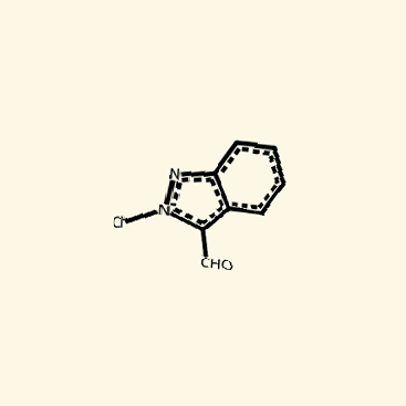 O=Cc1c2ccccc2nn1Cl